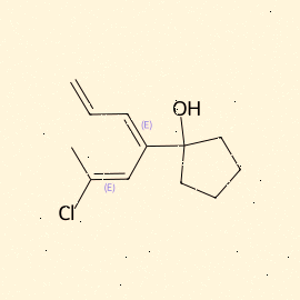 C=C/C=C(\C=C(/C)Cl)C1(O)CCCC1